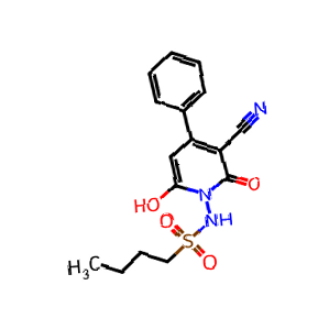 CCCCS(=O)(=O)Nn1c(O)cc(-c2ccccc2)c(C#N)c1=O